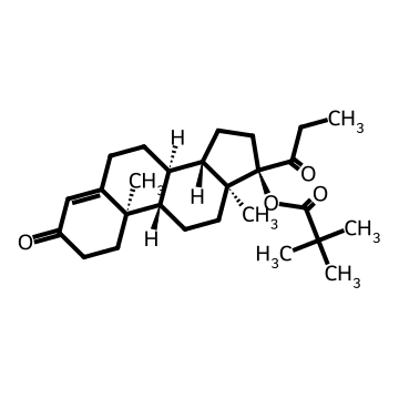 CCC(=O)[C@@]1(OC(=O)C(C)(C)C)CC[C@H]2[C@@H]3CCC4=CC(=O)CC[C@]4(C)[C@H]3CC[C@@]21C